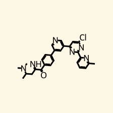 Cc1cccc(-c2nc(Cl)cc(-c3cncc(-c4ccc(C(=O)C(=N)CC(C)N(C)C)cc4)c3)n2)n1